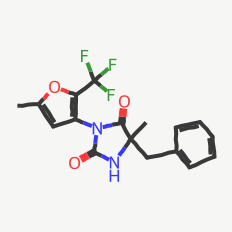 Cc1cc(N2C(=O)NC(C)(Cc3ccccc3)C2=O)c(C(F)(F)F)o1